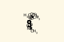 CCCC(Oc1cccc(B2OC(C)(C)C(C)(C)O2)c1)C(N)=O